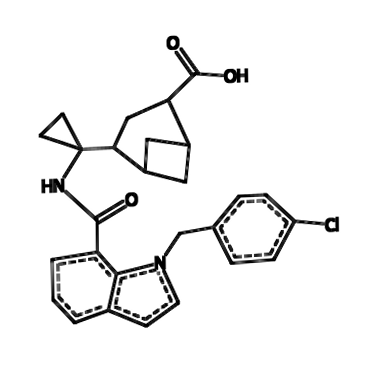 O=C(NC1(C2CC(C(=O)O)C3CC2C3)CC1)c1cccc2ccn(Cc3ccc(Cl)cc3)c12